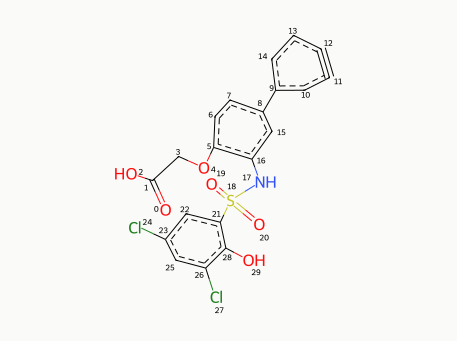 O=C(O)COc1ccc(-c2cc#ccc2)cc1NS(=O)(=O)c1cc(Cl)cc(Cl)c1O